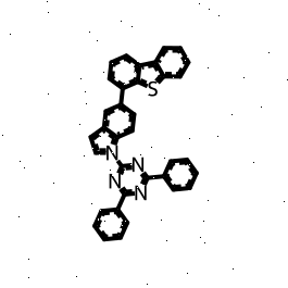 c1ccc(-c2nc(-c3ccccc3)nc(-n3ccc4cc(-c5cccc6c5sc5ccccc56)ccc43)n2)cc1